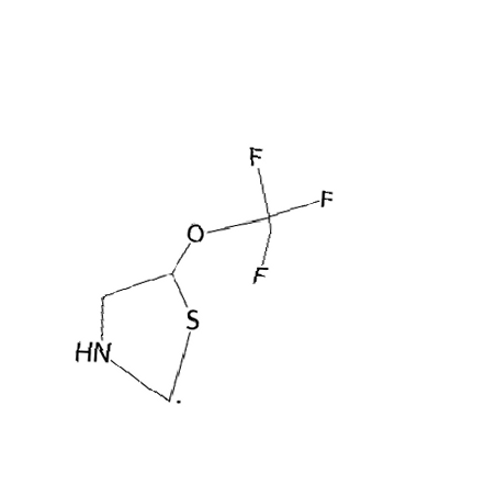 FC(F)(F)OC1CN[CH]S1